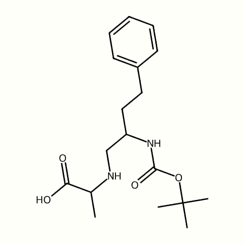 CC(NCC(CCc1ccccc1)NC(=O)OC(C)(C)C)C(=O)O